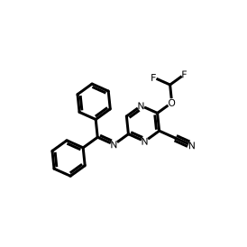 N#Cc1nc(N=C(c2ccccc2)c2ccccc2)cnc1OC(F)F